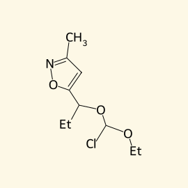 CCOC(Cl)OC(CC)c1cc(C)no1